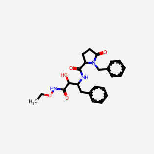 CCONC(=O)C(O)C(Cc1ccccc1)NC(=O)C1CCC(=O)N1Cc1ccccc1